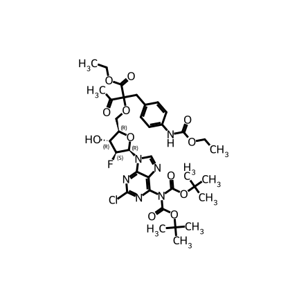 CCOC(=O)Nc1ccc(CC(OC[C@H]2O[C@@H](n3cnc4c(N(C(=O)OC(C)(C)C)C(=O)OC(C)(C)C)nc(Cl)nc43)[C@@H](F)[C@@H]2O)(C(C)=O)C(=O)OCC)cc1